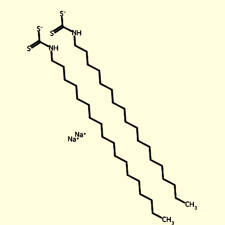 CCCCCCCCCCCCCCCCCCNC(=S)[S-].CCCCCCCCCCCCCCCCCCNC(=S)[S-].[Na+].[Na+]